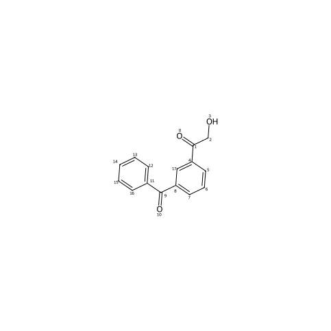 O=C(CO)c1cccc(C(=O)c2ccccc2)c1